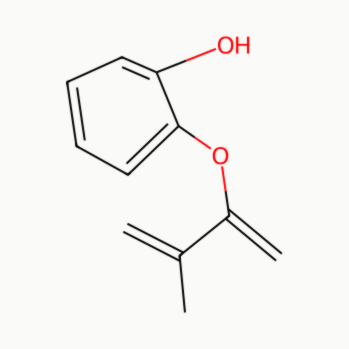 C=C(C)C(=C)Oc1ccccc1O